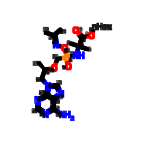 CCCCCCOC(=O)C(C)(C)NP(=O)(CO[C@H](C)Cn1cnc2c(N)ncnc21)ON=C(C)C